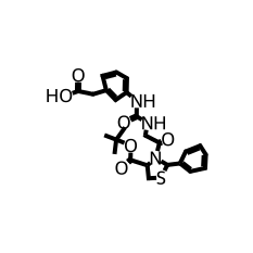 CC(C)(C)OC(=O)C1CSC(c2ccccc2)N1C(=O)CNC(=O)Nc1cccc(CC(=O)O)c1